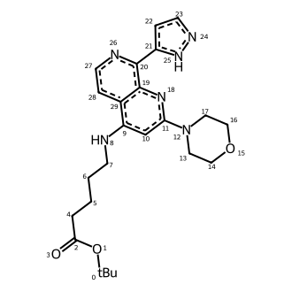 CC(C)(C)OC(=O)CCCCNc1cc(N2CCOCC2)nc2c(-c3ccn[nH]3)nccc12